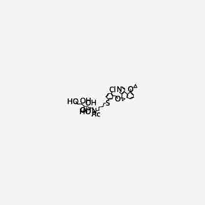 CC(=O)N(CCCCSc1ccc(Cl)c(COC2(c3cnccc3-c3ccccc3OC3CC3)CC2)c1)C[C@H](O)[C@@H](O)[C@H](O)[C@H](O)CO